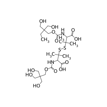 CCC(CO)(CO)COC(=O)NC(C(=O)O)C(C)(C)SSC(C)(C)C(NC(=O)OCC(CO)(CO)CO)C(=O)O